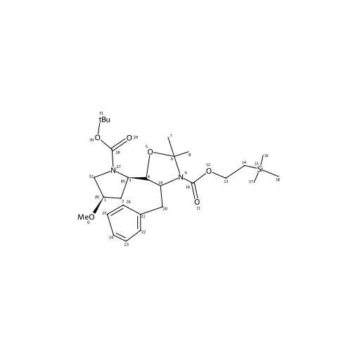 CO[C@@H]1C[C@H](C2OC(C)(C)N(C(=O)OCC[Si](C)(C)C)C2Cc2ccccc2)N(C(=O)OC(C)(C)C)C1